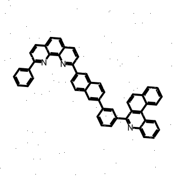 c1ccc(-c2ccc3ccc4ccc(-c5ccc6cc(-c7cccc(-c8nc9ccccc9c9c8ccc8ccccc89)c7)ccc6c5)nc4c3n2)cc1